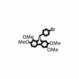 COc1cc2c3ccc(OC)c(OC)c3n(Cc3ccc(Br)cc3)c2cc1OC